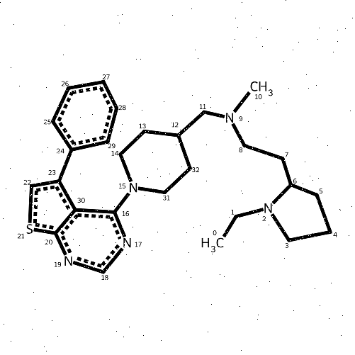 CCN1CCCC1CCN(C)CC1CCN(c2ncnc3scc(-c4ccccc4)c23)CC1